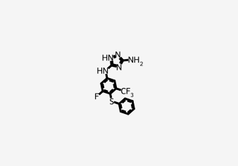 Nc1n[nH]c(Nc2cc(F)c(Sc3ccccc3)c(C(F)(F)F)c2)n1